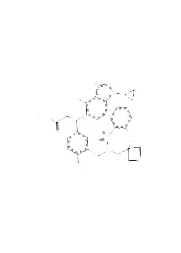 Cc1ccc([C@@H](CC(=O)O)c2ccc3c(nnn3C3CC3)c2C)cc1CN1CC2(COC2)Oc2ccccc2S1(=O)=O